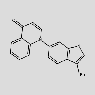 CC(C)(C)c1c[nH]c2cc(-n3ccc(=O)c4ccccc43)ccc12